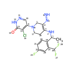 CC(NC1=C(N=N)CN(c2cn[nH]c(=O)c2Cl)CC1)c1ccc(F)cc1C(F)F